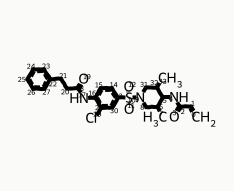 C=CC(=O)NC1C(C)CN(S(=O)(=O)c2ccc(NC(=O)CCc3ccccc3)c(Cl)c2)CC1C